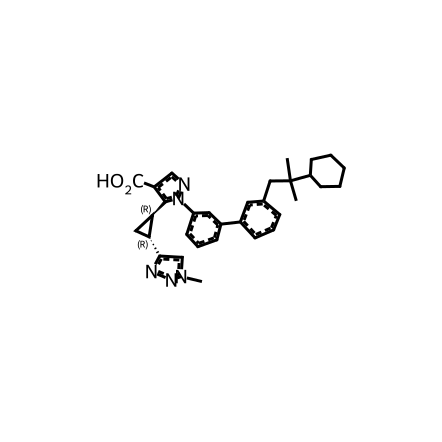 Cn1cc([C@@H]2C[C@H]2c2c(C(=O)O)cnn2-c2cccc(-c3cccc(CC(C)(C)C4CCCCC4)c3)c2)nn1